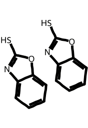 Sc1nc2ccccc2o1.Sc1nc2ccccc2o1